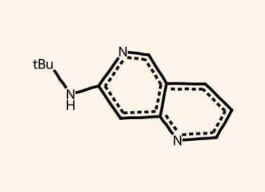 CC(C)(C)Nc1cc2ncccc2cn1